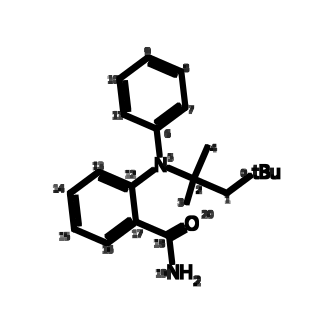 CC(C)(C)CC(C)(C)N(c1ccccc1)c1ccccc1C(N)=O